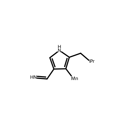 CC(C)Cc1[nH]cc(C=N)[c]1[Mn]